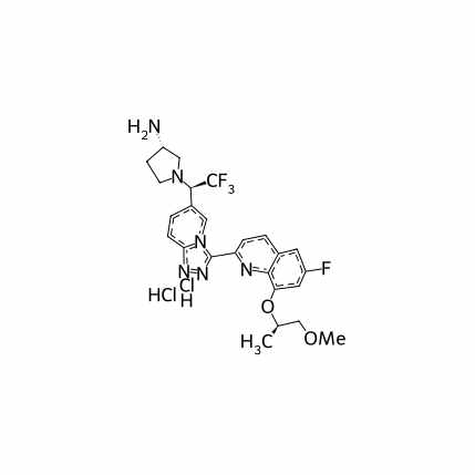 COC[C@@H](C)Oc1cc(F)cc2ccc(-c3nnc4ccc([C@@H](N5CC[C@H](N)C5)C(F)(F)F)cn34)nc12.Cl.Cl